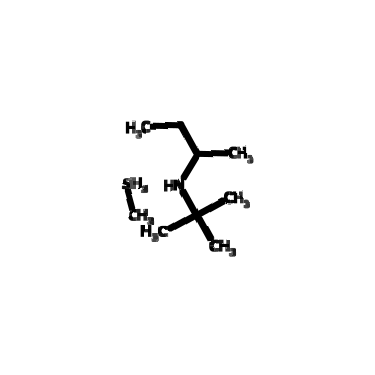 CCC(C)NC(C)(C)C.C[SiH3]